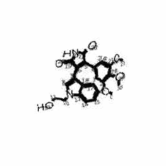 COc1cc(C2=C(c3cn(CCO)c4ccccc34)C(=O)NC2=O)cc(OC)c1OC